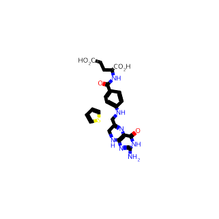 Nc1nc2c(c(=O)[nH]1)N=C(CNc1ccc(C(=O)NC(CCC(=O)O)C(=O)O)cc1)CN2.c1ccsc1